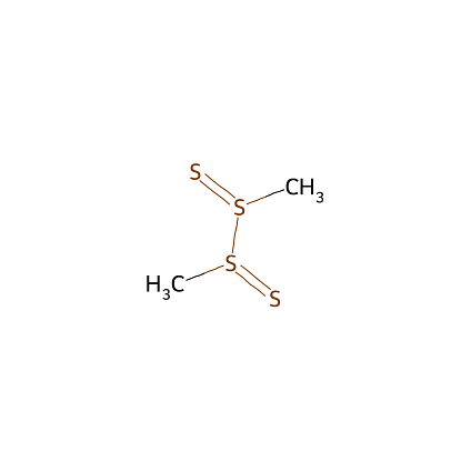 CS(=S)S(C)=S